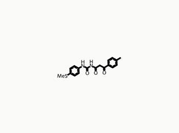 CSc1ccc(NC(=O)NC(=O)CC(=O)c2ccc(C)cc2)cc1